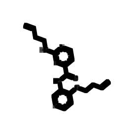 C=CCCNc1nccc(C(=O)Nc2cnccc2OCCC=C)n1